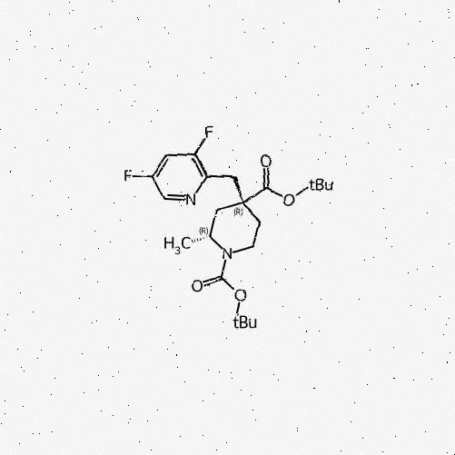 C[C@@H]1C[C@](Cc2ncc(F)cc2F)(C(=O)OC(C)(C)C)CCN1C(=O)OC(C)(C)C